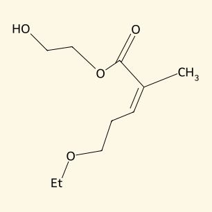 CCOCCC=C(C)C(=O)OCCO